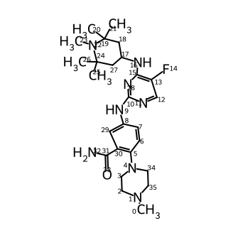 CN1CCN(c2ccc(Nc3ncc(F)c(NC4CC(C)(C)N(C)C(C)(C)C4)n3)cc2C(N)=O)CC1